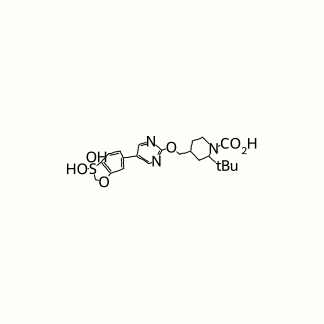 CC(C)(C)C1CC(COc2ncc(-c3ccc4c(c3)OCS4(O)O)cn2)CCN1C(=O)O